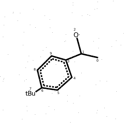 CC([O])c1ccc(C(C)(C)C)cc1